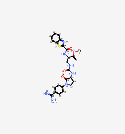 C=C(OCC)C(CNC(=O)NC1CCN(c2ccc(C(=N)N)cc2)C1=O)NC(=O)c1nc2ccccc2s1